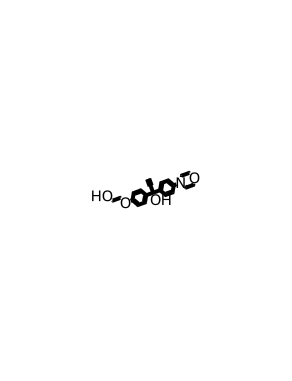 C#CC(O)(c1ccc(OCCO)cc1)c1ccc(N2CCOCC2)cc1